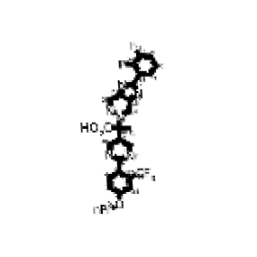 CCCOc1ccc(-c2ncc(C(C)(C(=O)O)n3cc4nc(-c5cccc(F)c5F)nc-4cn3)cn2)c(C(F)(F)F)c1